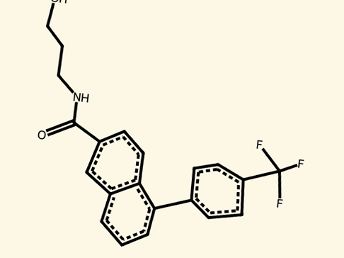 O=C(NCCCO)c1ccc2c(-c3ccc(C(F)(F)F)cc3)cccc2c1